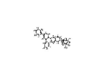 CC1(C)OB(c2ccc3cc(-c4ccc(-c5ccccc5)cc4-c4ccccc4)ccc3c2)OC1(C)C